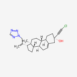 C=C(Cn1ncnn1)[C@H]1CC[C@H]2[C@@H]3CC=C4C[C@](O)(C#CCl)CC[C@@H]4[C@H]3CC[C@]12C